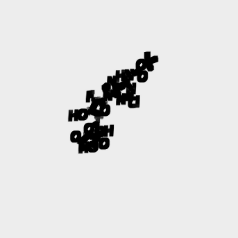 CC(=O)[C@H](OC[C@H]1O[C@@H](n2cnc3c(NC(=O)OC(C)(C)C)nc(Cl)nc32)[C@@H](F)[C@@H]1O)P(=O)(O)O